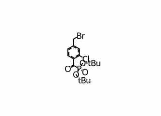 CC(C)(C)OP(=O)(OC(C)(C)C)C(=O)c1ccc(CBr)cc1Cl